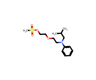 CC(C)CN(CCOCCOS(C)(=O)=O)c1ccccc1